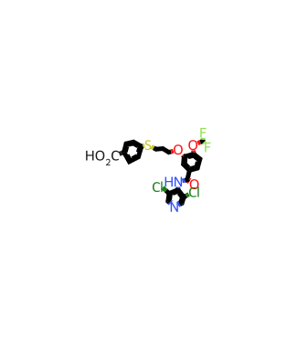 O=C(O)c1ccc(SCCCOc2cc(C(=O)Nc3c(Cl)cncc3Cl)ccc2OC(F)F)cc1